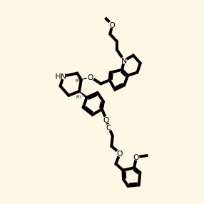 COCCCN1CCCc2ccc(CO[C@H]3CNCC[C@@H]3c3ccc(OCCCOCc4ccccc4OC)cc3)cc21